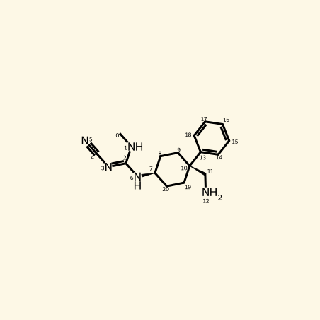 CN/C(=N\C#N)N[C@H]1CC[C@](CN)(c2ccccc2)CC1